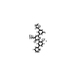 CCNc1cc(-c2cc(C)cc(-c3cnco3)c2)nn(-c2cc(-c3cccnn3)ccc2C(F)(F)F)c1=O